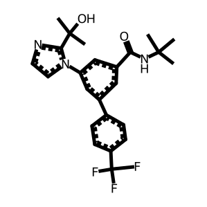 CC(C)(C)NC(=O)c1cc(-c2ccc(C(F)(F)F)cc2)cc(-n2ccnc2C(C)(C)O)c1